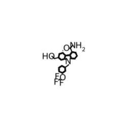 NC(=O)c1cccc2c1c1[c]cc(CO)cc1n2Cc1cccc(OC(F)(F)F)c1